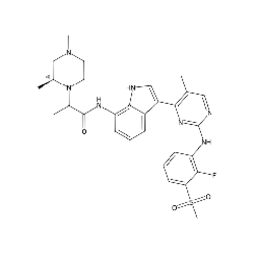 Cc1cnc(Nc2cccc(S(C)(=O)=O)c2F)nc1-c1c[nH]c2c(NC(=O)C(C)N3CCN(C)C[C@@H]3C)cccc12